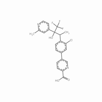 Cc1cc(C(O)(C(C)c2ccc(-c3ccc(C(=O)O)nc3)cc2Cl)C(F)(F)F)ccn1